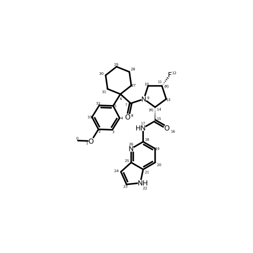 COc1ccc(C2(C(=O)N3C[C@H](F)C[C@@H]3C(=O)Nc3ccc4[nH]ccc4n3)CCCCC2)cc1